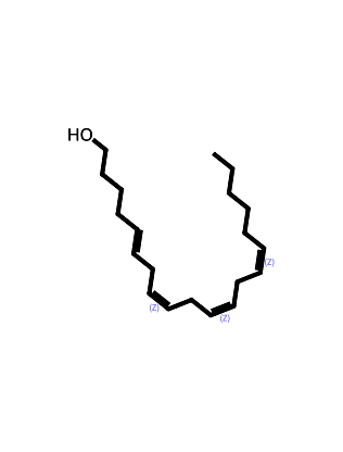 CCCCC/C=C\C/C=C\C/C=C\CC=CCCCCO